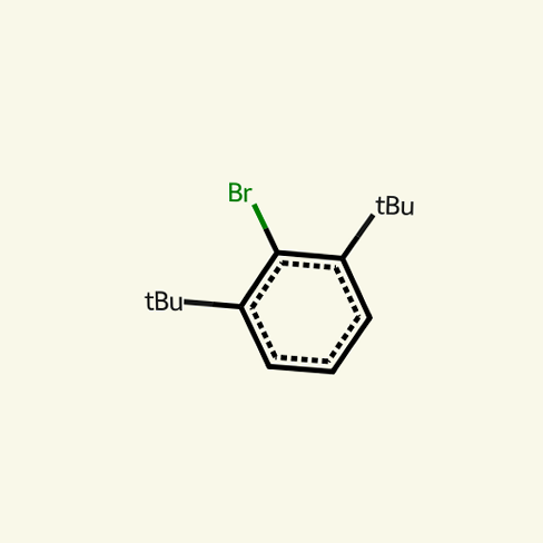 CC(C)(C)c1cccc(C(C)(C)C)c1Br